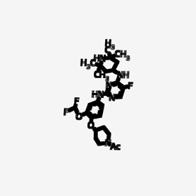 CC(=O)N1CCC(Oc2ccc(Nc3ncc(F)c(NC4CC(C)(C)NC(C)(C)C4)n3)cc2OC(F)F)CC1